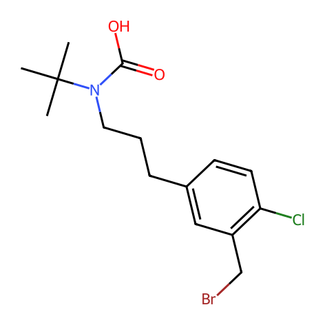 CC(C)(C)N(CCCc1ccc(Cl)c(CBr)c1)C(=O)O